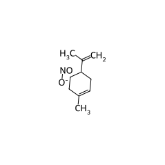 C=C(C)C1CC=C(C)CC1.O=[NH+][O-]